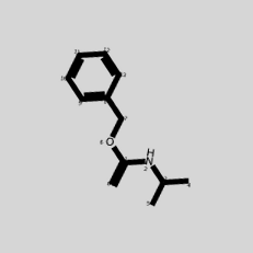 C=C(NC(C)C)OCc1ccccc1